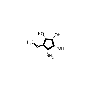 CS[C@@H]1[C@@H](N)[C@@H](O)[C@@H](O)[C@H]1O